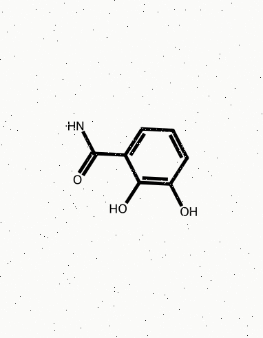 [NH]C(=O)c1cccc(O)c1O